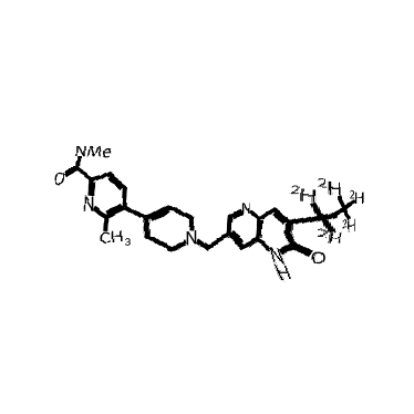 [2H]C([2H])([2H])C([2H])([2H])c1cc2ncc(CN3CC=C(c4ccc(C(=O)NC)nc4C)CC3)cc2[nH]c1=O